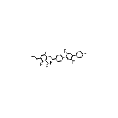 CCCc1cc(C)c(CCc2ccc(-c3cc(F)c(-c4ccc(C)cc4)cc3F)cc2)c(C(F)F)c1F